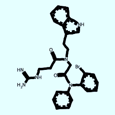 N=C(N)NCCC(=O)N(CCc1c[nH]c2ccccc12)CC(=O)N(c1ccccc1)c1ccccc1Br